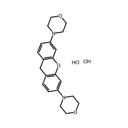 Cl.Cl.c1cc2c(cc1N1CCOCC1)Oc1cc(N3CCOCC3)ccc1C2